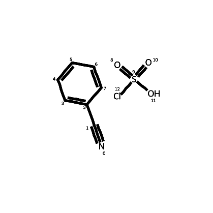 N#Cc1ccccc1.O=S(=O)(O)Cl